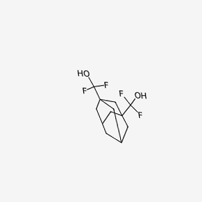 OC(F)(F)C12CC3CC(C1)CC(C(O)(F)F)(C3)C2